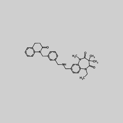 CCN1C(=O)C(C)(C)C(=O)N(C)c2cc(CNCc3cccc(CN4C(=O)CCc5ccccc54)c3)ccc21